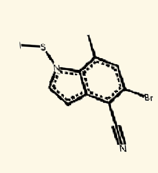 Cc1cc(Br)c(C#N)c2ccn(SI)c12